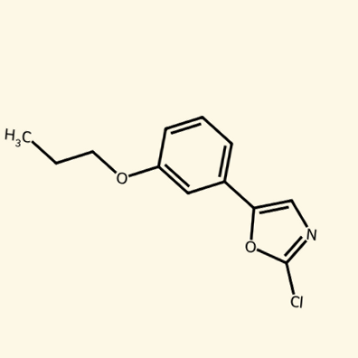 CCCOc1cccc(-c2cnc(Cl)o2)c1